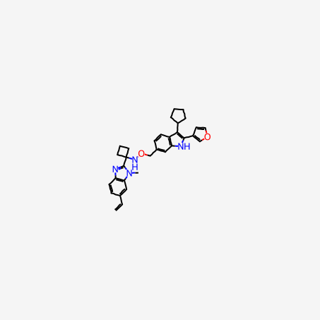 C=Cc1ccc2nc(C3(NOCc4ccc5c(C6CCCC6)c(-c6ccoc6)[nH]c5c4)CCC3)n(C)c2c1